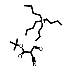 CC(C)(C)OC(=O)C(C#N)C=O.CCCC[PH](CCCC)(CCCC)CCCC